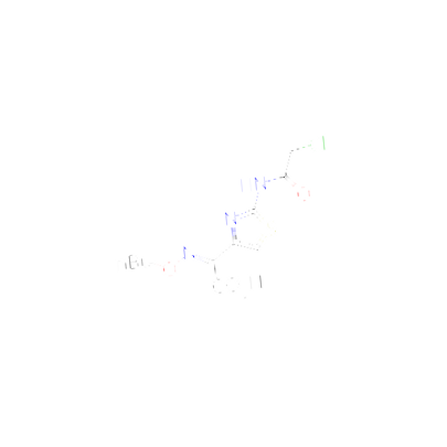 CCCCO/N=C(\C(=O)O)c1csc(NC(=O)CCl)n1